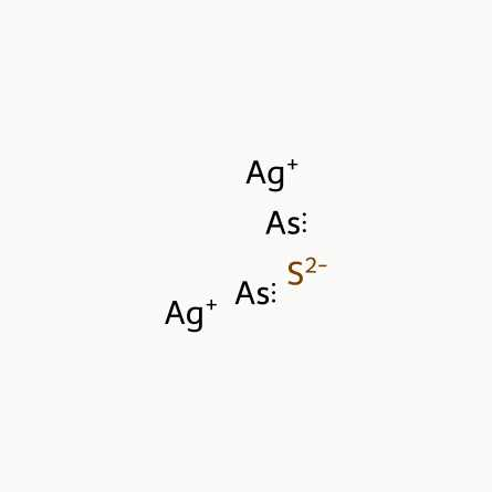 [Ag+].[Ag+].[As].[As].[S-2]